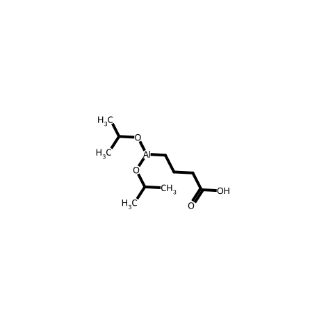 CC(C)[O][Al]([CH2]CCC(=O)O)[O]C(C)C